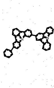 c1ccc(-c2ccc3c(c2)c2cccc4c5ccc(-c6cc7c8ccccc8n8c9ccccc9c(c6)c78)cc5n3c24)cc1